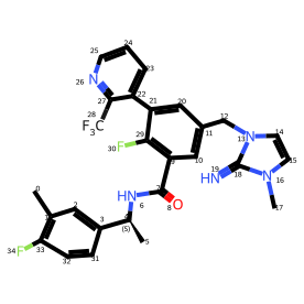 Cc1cc([C@H](C)NC(=O)c2cc(Cn3ccn(C)c3=N)cc(-c3cccnc3C(F)(F)F)c2F)ccc1F